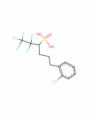 O=P(O)(O)C(CCCc1ccccc1F)C(F)(F)C(F)(F)F